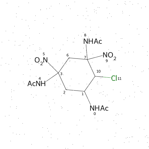 CC(=O)NC1CC(NC(C)=O)([N+](=O)[O-])CC(NC(C)=O)([N+](=O)[O-])C1Cl